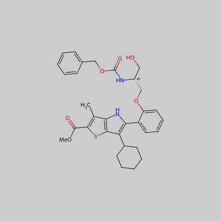 COC(=O)c1sc2c(C3CCCCC3)c(-c3ccccc3OC[C@@H](CO)NC(=O)OCc3ccccc3)[nH]c2c1C